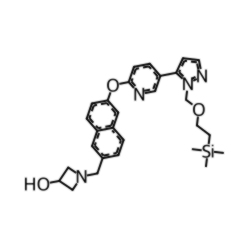 C[Si](C)(C)CCOCn1nccc1-c1ccc(Oc2ccc3cc(CN4CC(O)C4)ccc3c2)nc1